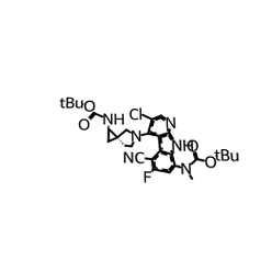 CN(C(=O)OC(C)(C)C)c1cc(F)c(C#N)c2c1[nH]c1ncc(Cl)c(N3CC[C@@]4(C[C@@H]4NC(=O)OC(C)(C)C)C3)c12